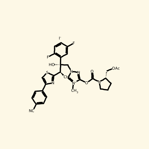 CC(=O)OC[C@@H]1CCCN1C(=O)Oc1nn(C[C@](O)(c2cc(F)ccc2F)[C@@H](C)c2nc(-c3ccc(C#N)cc3)cs2)c[n+]1C.[I-]